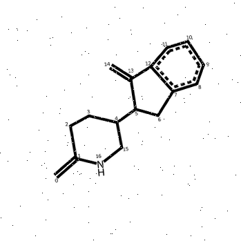 C=C1CCC(C2Cc3ccccc3C2=C)CN1